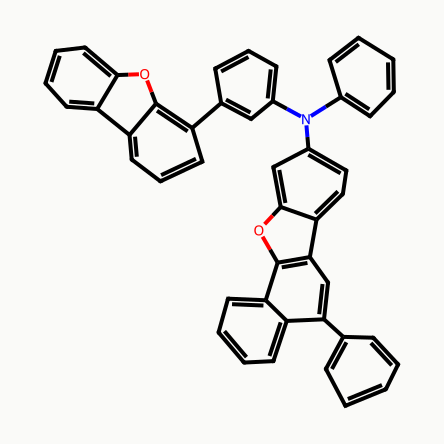 c1ccc(-c2cc3c4ccc(N(c5ccccc5)c5cccc(-c6cccc7c6oc6ccccc67)c5)cc4oc3c3ccccc23)cc1